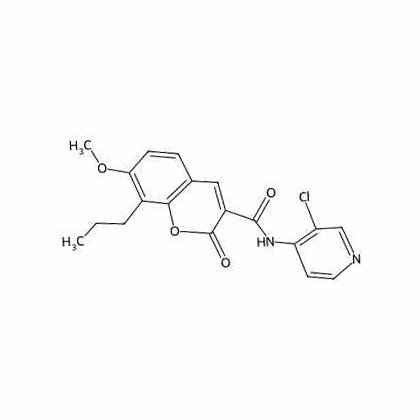 CCCc1c(OC)ccc2cc(C(=O)Nc3ccncc3Cl)c(=O)oc12